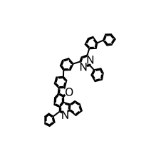 c1ccc(-c2cccc(-c3cc(-c4cccc(-c5ccc6c(c5)oc5c6ccc6c(-c7ccccc7)nc7ccccc7c65)c4)nc(-c4ccccc4)n3)c2)cc1